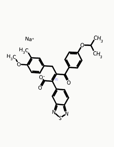 COc1ccc(C/C(C(=O)c2ccc(OC(C)C)cc2)=C(\C(=O)[O-])c2ccc3nsnc3c2)cc1C.[Na+]